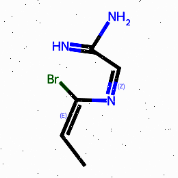 C/C=C(Br)\N=C/C(=N)N